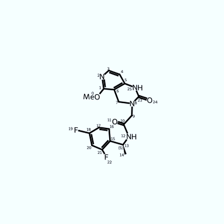 COc1nccc2c1CN(CC(=O)N[C@@H](C)c1ccc(F)cc1F)C(=O)N2